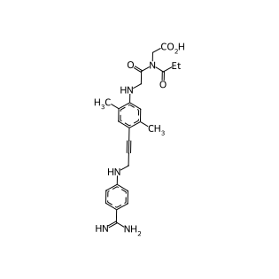 CCC(=O)N(CC(=O)O)C(=O)CNc1cc(C)c(C#CCNc2ccc(C(=N)N)cc2)cc1C